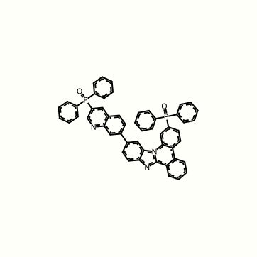 O=P(c1ccccc1)(c1ccccc1)c1cnc2cc(-c3ccc4nc5c6ccccc6c6ccc(P(=O)(c7ccccc7)c7ccccc7)cc6n5c4c3)ccc2c1